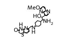 COc1ccc2nccc(C(O)C(N)C3CCC(NCc4ccc5c(n4)NC(=O)CS5)CC3)c2n1